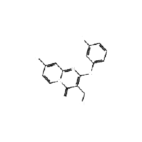 Cc1cccc(Nc2nc3cc(Cl)ccn3c(=O)c2CO)c1